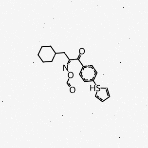 O=CON=C(CC1CCCCC1)C(=O)c1ccc([SH]2C=CC=C2)cc1